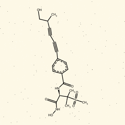 CC(C#CC#Cc1ccc(C(=O)N[C@H](C(=O)NO)C(C)(C)S(C)(=O)=O)cc1)CO